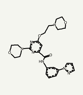 O=C(Nc1cccc(-n2cccn2)c1)c1cc(OCCN2CCOCC2)nc(N2CCOCC2)n1